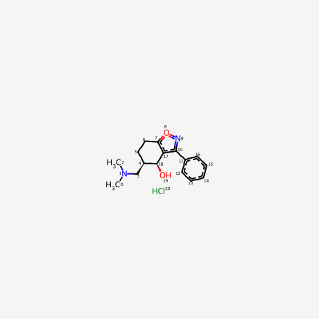 CN(C)C[C@H]1CCc2onc(-c3ccccc3)c2[C@H]1O.Cl